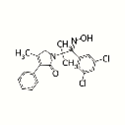 CC1=C(c2ccccc2)C(=O)N(C(C)(C)C(=NO)c2cc(Cl)cc(Cl)c2)C1